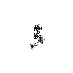 CCOc1cc(C2CCN(CCS(C)(=O)=O)CC2)ccc1Nc1nccc(-c2c(-c3cccc(C(=O)Nc4c(F)cccc4F)c3)nc3ccccn23)n1